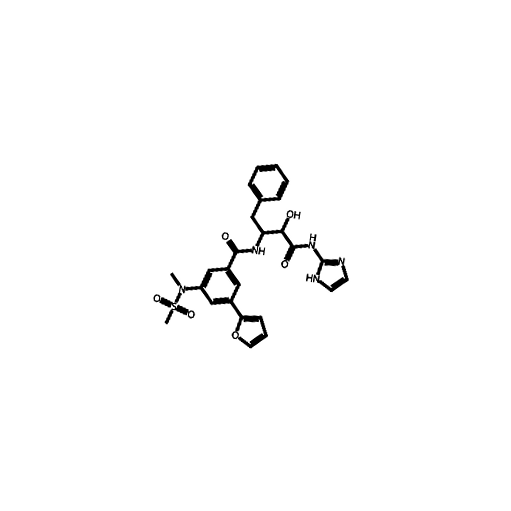 CN(c1cc(C(=O)NC(Cc2ccccc2)C(O)C(=O)Nc2ncc[nH]2)cc(-c2ccco2)c1)S(C)(=O)=O